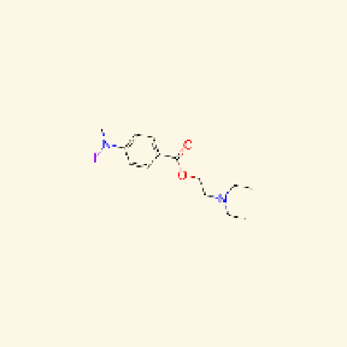 CCN(CC)CCOC(=O)c1ccc(N(C)I)cc1